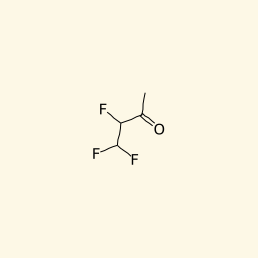 CC(=O)C(F)C(F)F